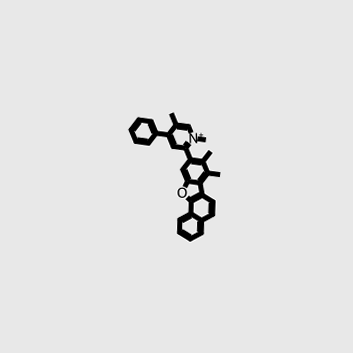 Cc1c[n+](C)c(-c2cc3oc4c5ccccc5ccc4c3c(C)c2C)cc1-c1ccccc1